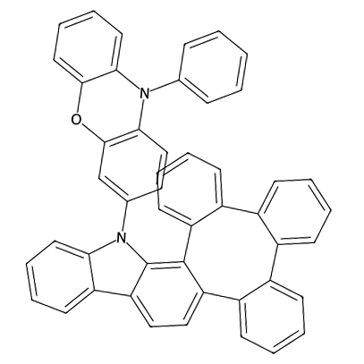 c1ccc(N2c3ccccc3Oc3cc(-n4c5ccccc5c5ccc6c(c54)-c4ccccc4-c4ccccc4-c4ccccc4-6)ccc32)cc1